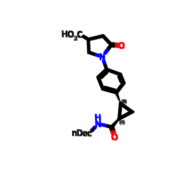 CCCCCCCCCCNC(=O)[C@@H]1C[C@H]1c1ccc(N2CC(C(=O)O)CC2=O)cc1